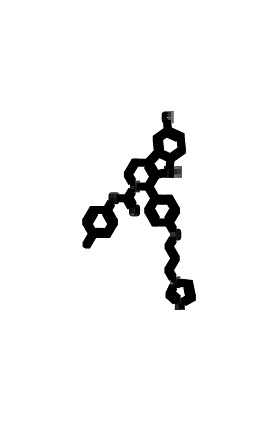 Cc1ccc(OC(=O)N2CCC3=C(NC4CC=C(Cl)C=C34)C2c2ccc(OCCCn3ccnc3)cc2)cc1